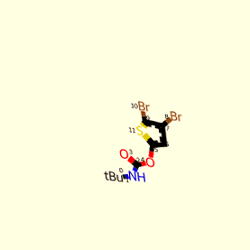 CC(C)(C)NC(=O)Oc1cc(Br)c(Br)s1